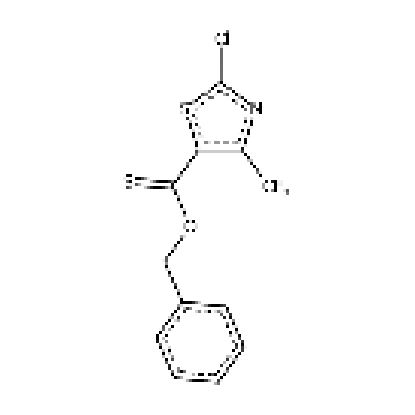 FC(F)(F)c1nc(Cl)sc1C(=S)OCc1ccccc1